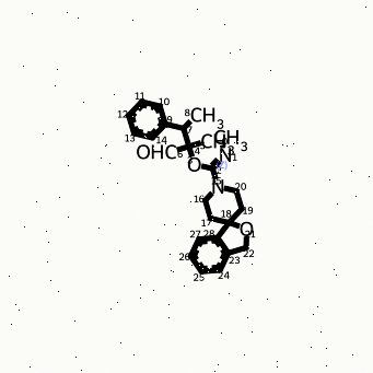 C/N=C(\OC(C)(C=O)C(C)c1ccccc1)N1CCC2(CC1)OCc1ccccc12